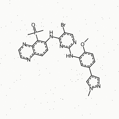 COc1ccc(-c2cnn(C)c2)cc1Nc1ncc(Br)c(Nc2ccc3nccnc3c2P(C)(C)=O)n1